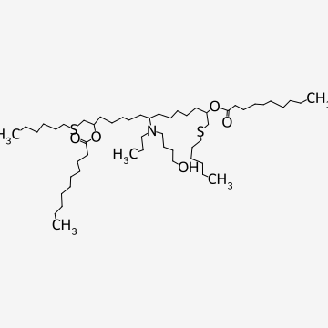 CCCCCCCCCC(=O)OC(CCCCCC(CCCCCC(CSCCCCCC)OC(=O)CCCCCCCCC)N(CCC)CCCCO)CSCCCCCC